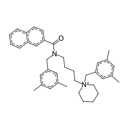 Cc1cc(C)cc(CN(CCCC[N+]2(Cc3cc(C)cc(C)c3)CCCCC2)C(=O)c2ccc3ccccc3c2)c1